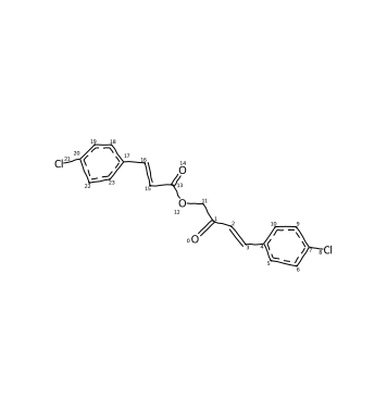 O=C(/C=C/c1ccc(Cl)cc1)COC(=O)/C=C/c1ccc(Cl)cc1